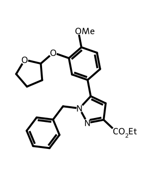 CCOC(=O)c1cc(-c2ccc(OC)c(OC3CCCO3)c2)n(Cc2ccccc2)n1